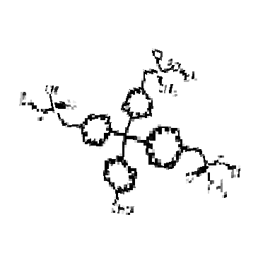 C=P(C)(Cc1ccc(C(c2ccc(C=O)cc2)(c2ccc(CP(C)(=O)OCC)cc2)c2ccc(CP(C)(=O)OCC)cc2)cc1)OCC